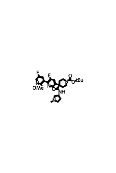 COc1ncc(F)cc1-c1ncc(C2(C(=O)N[C@H]3CCN(C)C3)CCN(C(=O)OC(C)(C)C)CC2)cc1F